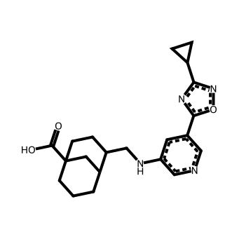 O=C(O)C12CCCC(C1)C(CNc1cncc(-c3nc(C4CC4)no3)c1)CC2